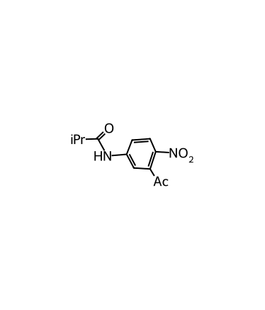 CC(=O)c1cc(NC(=O)C(C)C)ccc1[N+](=O)[O-]